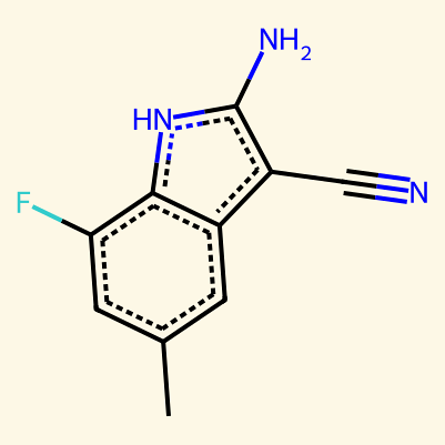 Cc1cc(F)c2[nH]c(N)c(C#N)c2c1